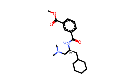 COC(=O)c1cccc(C(=O)N[C@@H](CC2CCCCC2)CN(C)C)c1